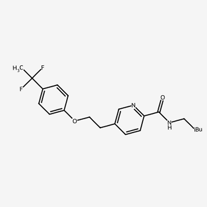 CCC(C)CNC(=O)c1ccc(CCOc2ccc(C(C)(F)F)cc2)cn1